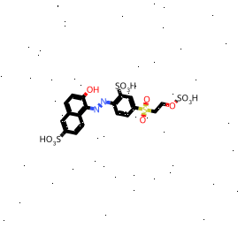 O=S(=O)(O)OCCS(=O)(=O)c1ccc(/N=N/c2c(O)ccc3cc(S(=O)(=O)O)ccc23)c(S(=O)(=O)O)c1